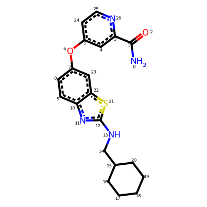 NC(=O)c1cc(Oc2ccc3nc(NCC4CCCCC4)sc3c2)ccn1